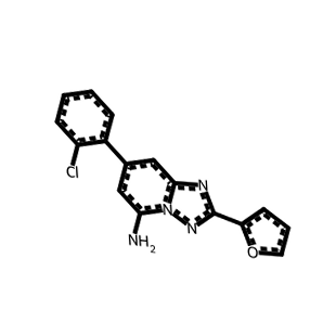 Nc1cc(-c2ccccc2Cl)cc2nc(-c3ccco3)nn12